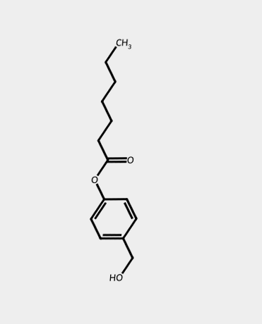 CCCCCCC(=O)Oc1ccc(CO)cc1